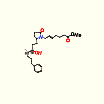 COC(=O)CCCC=CCN1C(=O)CCC1CC[C@@H](O)[C@@H](C)CCCc1ccccc1